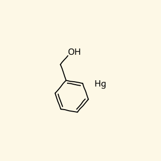 OCc1ccccc1.[Hg]